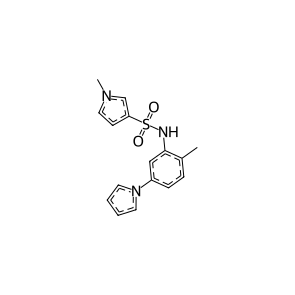 Cc1ccc(-n2cccc2)cc1NS(=O)(=O)c1ccn(C)c1